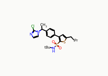 CC(C)Cc1cc(-c2ccc(C(C)n3ccnc3Cl)cc2)c(S(=O)(=O)NC(C)(C)C)s1